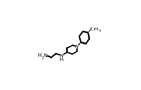 C[C@H]1CC[C@@H](N2CCC(NCCN)CC2)CC1